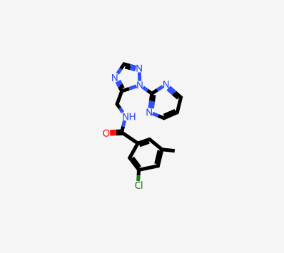 Cc1cc(Cl)cc(C(=O)NCc2ncnn2-c2ncccn2)c1